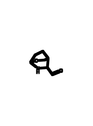 O=CC1NC2CCC1CC2